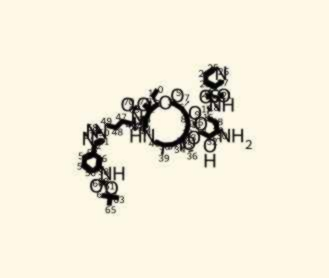 CC[C@H]1OC(=O)[C@H](C)C(=O)[C@H](C)[C@@H](O[C@@H]2O[C@H](CNS(=O)(=O)c3cccnc3)CC(N)C2O)[C@](C)(OC)C[C@@H](C)CN[C@H](C)[C@H]2N(CCCCn3cc(-c4cccc(NC(=O)OC(C)(C)C)c4)nn3)C(=O)O[C@]12C